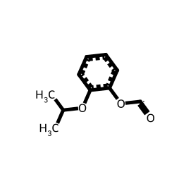 CC(C)Oc1ccccc1O[C]=O